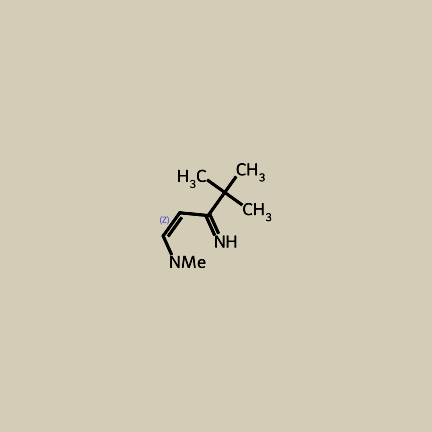 CN/C=C\C(=N)C(C)(C)C